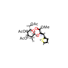 COC(=O)/C(=C/c1cccs1)O[C@H]1O[C@@H](COC(C)=O)[C@@H](OC(C)=O)[C@@H](OC(C)=O)[C@@H]1C